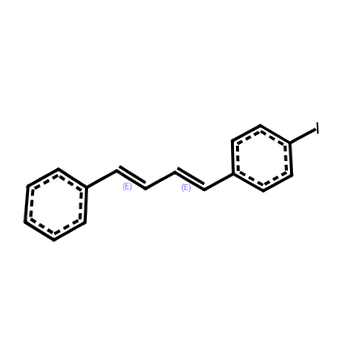 Ic1ccc(/C=C/C=C/c2ccccc2)cc1